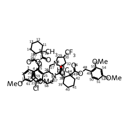 COc1ccc(COC(=O)[C@@]2(C)CCCC[C@H]2C(=O)Oc2ccc(Cl)c3c2[C@@H](CN2CC(C(F)(F)F)CC2=O)N(C(=O)[C@@H]2CCCC[C@]2(C)C(=O)OCc2ccc(OC)cc2OC)CC3)c(OC)c1